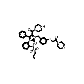 CCCS(=O)(=O)Nc1ccccc1-n1c(-c2ccccc2)c(C(=O)N2CCNCC2)n(Cc2cccc(OCC(=O)N3CCOCC3)c2)c1=O